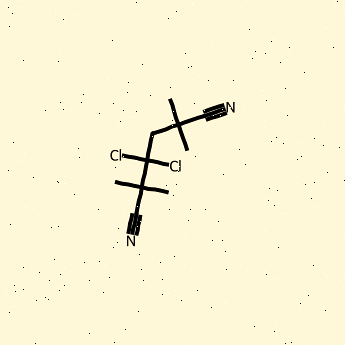 CC(C)(C#N)CC(Cl)(Cl)C(C)(C)C#N